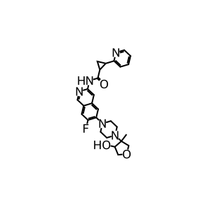 CC1(N2CCN(c3cc4cc(NC(=O)C5CC5c5ccccn5)ncc4cc3F)CC2)COCC1O